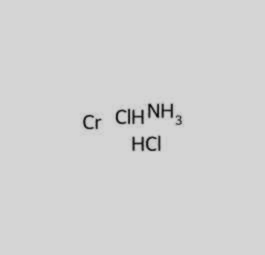 Cl.Cl.N.[Cr]